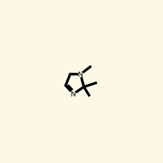 CN1CC=NC1(C)C